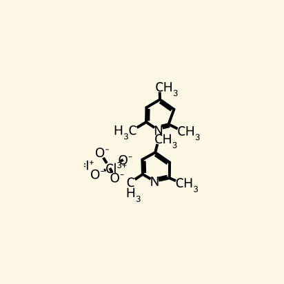 Cc1cc(C)nc(C)c1.Cc1cc(C)nc(C)c1.[I+].[O-][Cl+3]([O-])([O-])[O-]